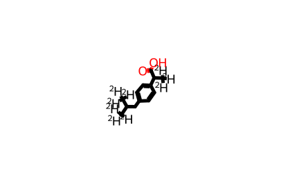 [2H]C([2H])([2H])C(C(=O)O)c1ccc(CC(C([2H])([2H])[2H])C([2H])([2H])[2H])cc1